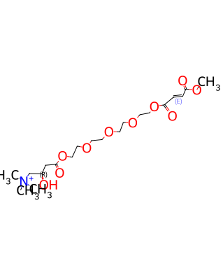 COC(=O)/C=C/C(=O)OCCOCCOCCOCCOC(=O)C[C@@H](O)C[N+](C)(C)C